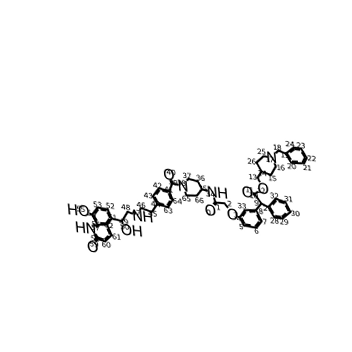 O=C(COc1cccc(C(C(=O)OCC2CCN(Cc3ccccc3)CC2)c2ccccc2)c1)NC1CCN(C(=O)c2ccc(CCNC[C@H](O)c3ccc(O)c4[nH]c(=O)ccc34)cc2)CC1